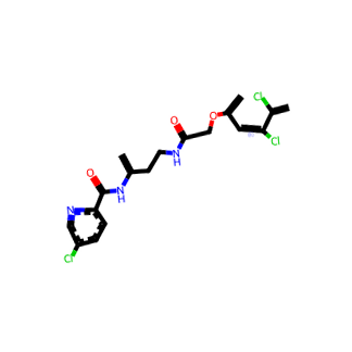 C=C(CCNC(=O)COC(=C)/C=C(/Cl)C(=C)Cl)NC(=O)c1ccc(Cl)cn1